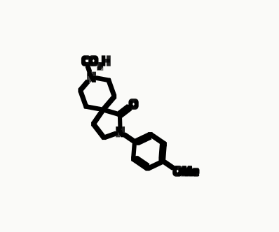 COc1ccc(N2CCC3(CCN(C(=O)O)CC3)C2=O)cc1